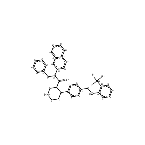 O=C(C1CNCCC1c1ccc(COc2ccccc2C(F)(F)F)cc1)N(Cc1ccccc1)c1ccc2ccccc2c1